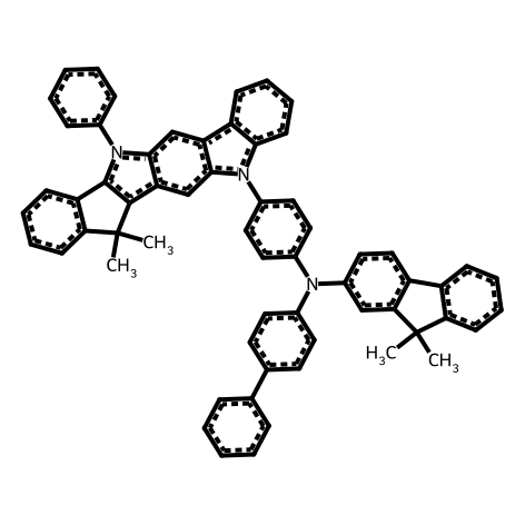 CC1(C)c2ccccc2-c2ccc(N(c3ccc(-c4ccccc4)cc3)c3ccc(-n4c5ccccc5c5cc6c(cc54)c4c(n6-c5ccccc5)-c5ccccc5C4(C)C)cc3)cc21